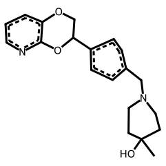 CC1(O)CCN(Cc2ccc(C3COc4cccnc4O3)cc2)CC1